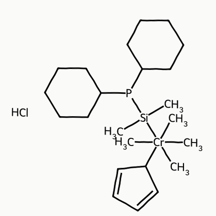 C[Si](C)(P(C1CCCCC1)C1CCCCC1)[Cr]([CH3])([CH3])([CH3])([CH3])[CH]1C=CC=C1.Cl